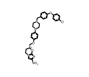 O=[N+]([O-])c1cn2c(n1)O[C@H](COc1ccc(N3CCN(Cc4ccc(Oc5ccc(Cl)cc5)cc4)CC3)cc1)CC2